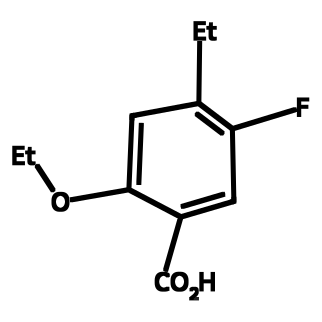 CCOc1cc(CC)c(F)cc1C(=O)O